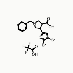 O=C(O)C(F)(F)F.O=C(O)C1CN(Cc2ccccc2)CC1c1cc(Br)c(Br)s1